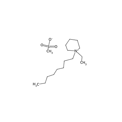 CCCCCCCC[N+]1(CC)CCCCC1.CS(=O)(=O)[O-]